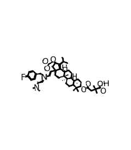 CC(=O)OC(CN(CCN(C)C)Cc1ccc(F)cc1)C12CC[C@]3(C)[C@H](CC[C@@H]4[C@@]5(C)CC[C@H](OC(=O)CC(C)(C)C(=O)O)C(C)(C)C5CC[C@]43C)C1=C(C(C)C)C(=O)C2